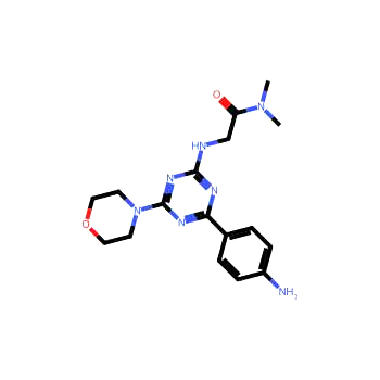 CN(C)C(=O)CNc1nc(-c2ccc(N)cc2)nc(N2CCOCC2)n1